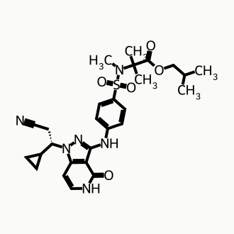 CC(C)COC(=O)C(C)(C)N(C)S(=O)(=O)c1ccc(Nc2nn([C@@H](CC#N)C3CC3)c3cc[nH]c(=O)c23)cc1